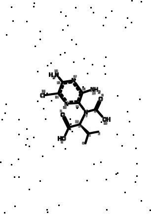 CC(C)[C@@H](C(=O)O)N(C(=O)O)c1nc(Cl)c(N)nc1N